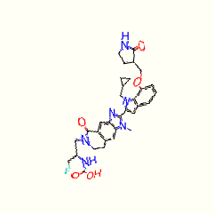 Cn1c(-c2cc3cccc(OCC4CCNC4=O)c3n2CC2CC2)nc2cc3c(cc21)CCN(CC(CF)NC(=O)O)C3=O